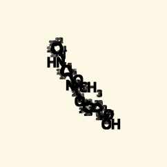 Cc1oc(-c2ccc(NCc3ccccc3)cc2)nc1CCOc1ccc2c(c1)CC[C@H]2CC(=O)O